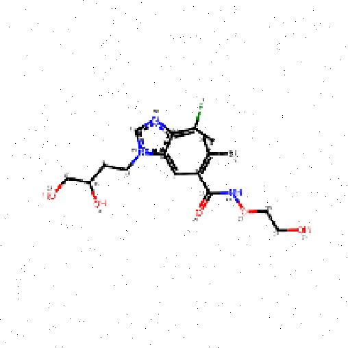 CC/C(C)=C(/C=c1\c(=C(/C)F)ncn1CCC(O)CO)C(=O)NOCCO